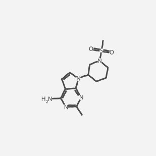 Cc1nc(N)c2ccn(C3CCCN(S(C)(=O)=O)C3)c2n1